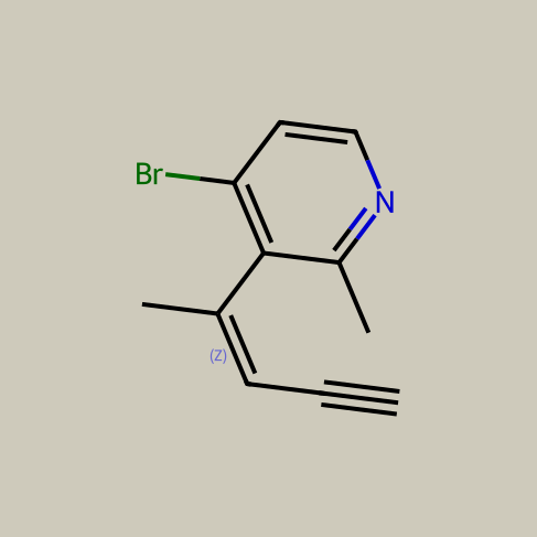 C#C/C=C(/C)c1c(Br)ccnc1C